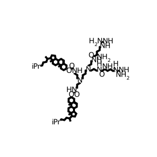 CC(C)CCCC(C)C1CCC2C3CC=C4CC(OC(=O)NCCCN(CCCCN(CCCNC(=O)C(N)CCCNC(=N)N)CCCNC(=O)C(N)CCCNC(=N)N)CCCNC(=O)OC5CCC6(C)C(=CCC7C6CCC6(C)C(C(C)CCCC(C)C)CCC76)C5)CCC4(C)C3CCC12C